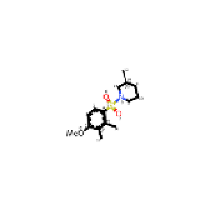 COc1ccc(S(=O)(=O)N2CCC[C@H](C)C2)c(C)c1C